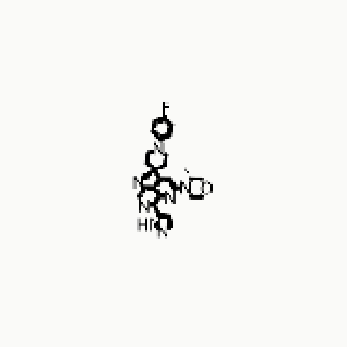 C[C@@H]1COCCN1c1cc(C2(C#N)CCN(c3ccc(F)cc3)CC2)c2ccnc(-c3ccn[nH]3)c2n1